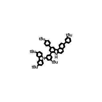 CC(C)(C)c1ccc(-c2cc(-c3cc(-n4c5ccc(C(C)(C)C)cc5c5cc(C(C)(C)C)ccc54)cc(C(C)(C)C)c3)c3[nH]c4ccc5cc(-c6cccc(C(C)(C)C)c6)ccc5c4c3c2)cc1